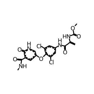 C=C(NC(=O)OC)C(=O)Nc1cc(Cl)c(Oc2c[nH]c(=O)c(C(=O)NC)c2)c(Cl)c1